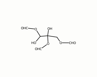 O=COCC(O)(OC=O)C(O)OC=O